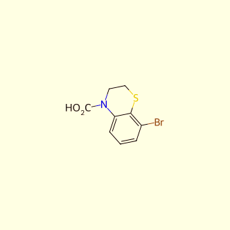 O=C(O)N1CCSc2c(Br)cccc21